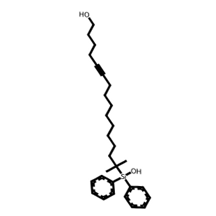 CC(C)(CCCCCCCCC#CCCCCO)[Si](O)(c1ccccc1)c1ccccc1